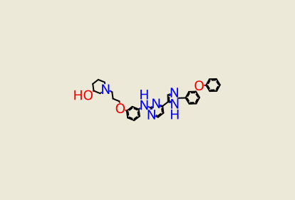 OC1CCCN(CCCOc2cccc(Nc3nccc(-c4cnc(-c5cccc(Oc6ccccc6)c5)[nH]4)n3)c2)C1